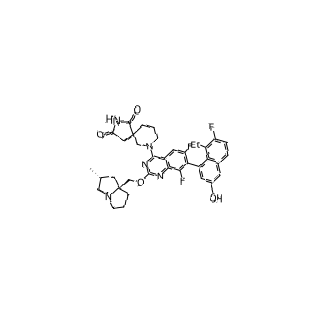 CCc1c(F)ccc2cc(O)cc(-c3c(F)cc4c(N5CCCC6(CC(=O)NC6=O)C5)nc(OC[C@@]56CCCN5C[C@H](C)C6)nc4c3F)c12